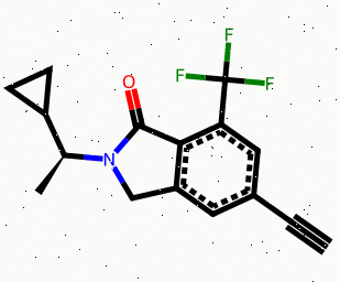 C#Cc1cc2c(c(C(F)(F)F)c1)C(=O)N([C@@H](C)C1CC1)C2